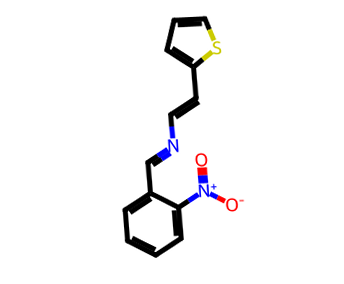 O=[N+]([O-])c1ccccc1C=NC=Cc1cccs1